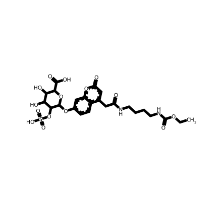 CCOC(=O)NCCCCNC(=O)Cc1cc(=O)oc2cc(OC3OC(C(=O)O)C(O)C(O)C3OS(=O)(=O)O)ccc12